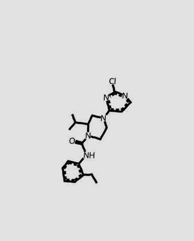 CCc1ccccc1NC(=O)N1CCN(c2ccnc(Cl)n2)CC1C(C)C